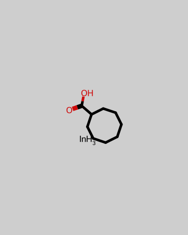 O=C(O)C1CCCCCCC1.[InH3]